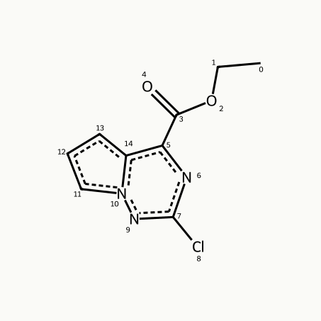 CCOC(=O)c1nc(Cl)nn2cccc12